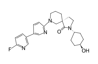 O=C1N([C@H]2CC[C@H](O)CC2)CC[C@]12CCCN(c1ccc(-c3ccc(F)nc3)cn1)C2